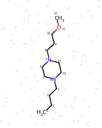 [CH2]CCCN1CCN(CCCOC)CC1